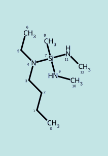 CCCCN(CC)[Si](C)(NC)NC